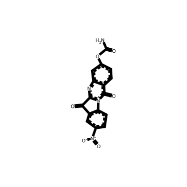 NC(=O)Oc1ccc2c(=O)n3c(nc2c1)C(=O)c1cc([N+](=O)[O-])ccc1-3